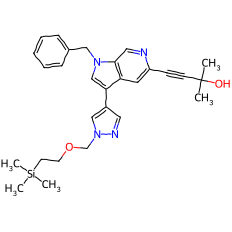 CC(C)(O)C#Cc1cc2c(-c3cnn(COCC[Si](C)(C)C)c3)cn(Cc3ccccc3)c2cn1